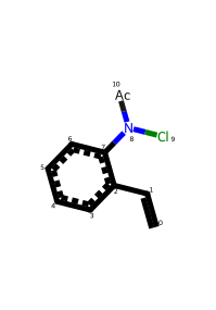 C=Cc1ccccc1N(Cl)C(C)=O